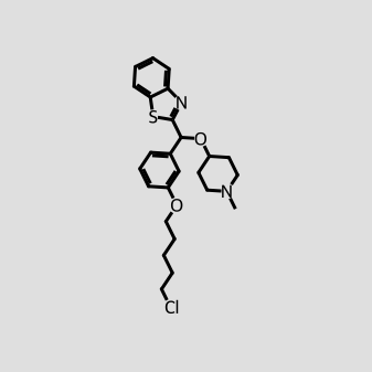 CN1CCC(OC(c2cccc(OCCCCCCl)c2)c2nc3ccccc3s2)CC1